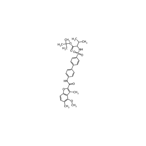 COc1c(C)ccc2oc(C(=O)Nc3ccc(-c4ccc(S(=O)(=O)NC(C(=O)OC(C)(C)C)C(C)C)cc4)cc3)c(C)c12